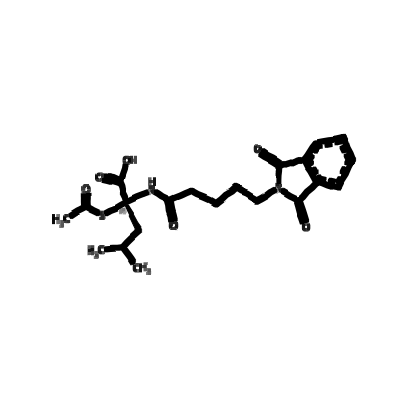 CC(=O)S[C@@](CC(C)C)(NC(=O)CCCCN1C(=O)c2ccccc2C1=O)C(=O)O